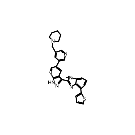 c1csc(-c2cccc3[nH]c(-c4n[nH]c5ncc(-c6cncc(CN7CCCCC7)c6)cc45)nc23)c1